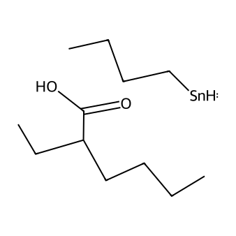 CCCCC(CC)C(=O)O.CCC[CH2][SnH]